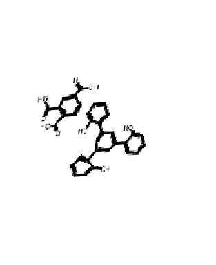 O=C(O)c1ccc(C(=O)O)c(C(=O)O)c1.Oc1ccccc1-c1cc(-c2ccccc2O)cc(-c2ccccc2O)c1